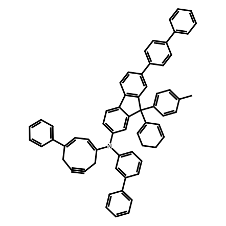 Cc1ccc(C2(C3=CCCC=C3)c3cc(-c4ccc(-c5ccccc5)cc4)ccc3-c3ccc(N(/C4=C/C=C(/c5ccccc5)CC#CC4)c4cccc(-c5ccccc5)c4)cc32)cc1